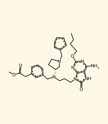 CCCCOc1nc(N)c2[nH]c(=O)n(CCCN(Cc3cccc(CC(=O)OC)c3)[C@@H]3CCN(Cc4ccccc4)C3)c2n1